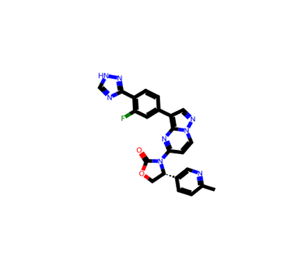 Cc1ccc([C@@H]2COC(=O)N2c2ccn3ncc(-c4ccc(-c5nc[nH]n5)c(F)c4)c3n2)cn1